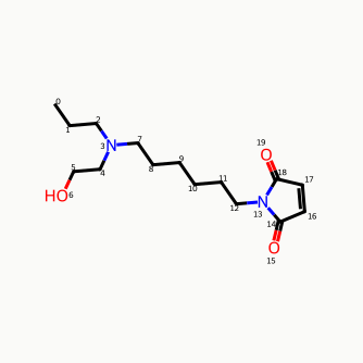 CCCN(CCO)CCCCCCN1C(=O)C=CC1=O